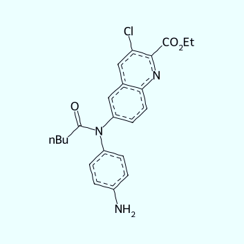 CCCCC(=O)N(c1ccc(N)cc1)c1ccc2nc(C(=O)OCC)c(Cl)cc2c1